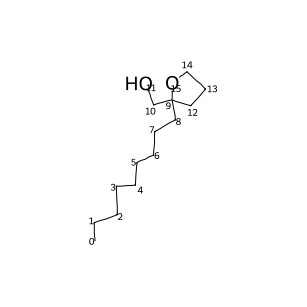 CCCCCCCCCC1(CO)CCCO1